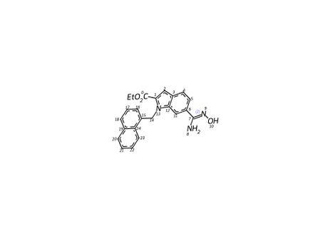 CCOC(=O)c1cc2ccc(/C(N)=N/O)cc2n1Cc1cccc2ccccc12